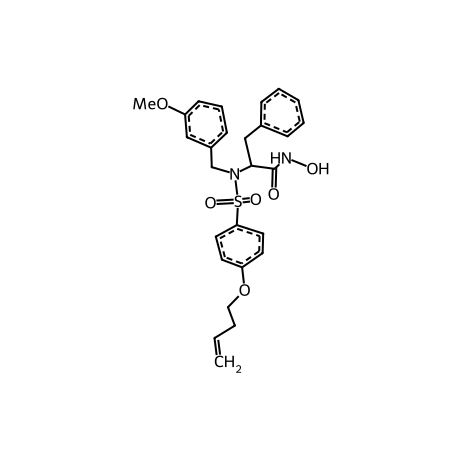 C=CCCOc1ccc(S(=O)(=O)N(Cc2cccc(OC)c2)C(Cc2ccccc2)C(=O)NO)cc1